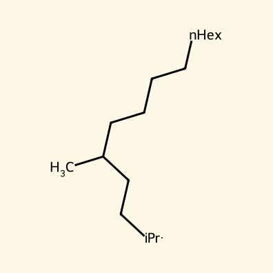 CCCCCCCCCCC(C)CC[C](C)C